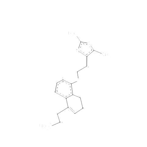 Cc1nc(CCSc2cccc3c2CCC=C3CCC(=O)O)c(C)s1